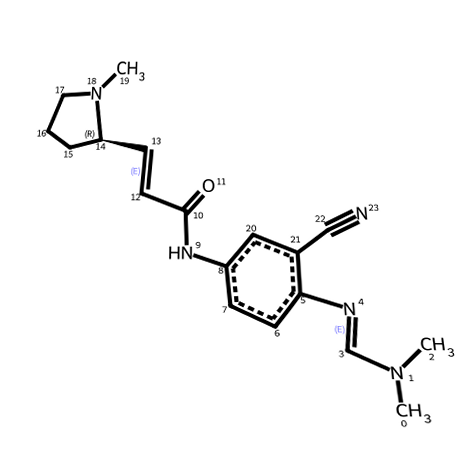 CN(C)/C=N/c1ccc(NC(=O)/C=C/[C@H]2CCCN2C)cc1C#N